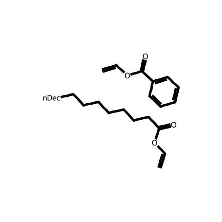 C=COC(=O)CCCCCCCCCCCCCCCCC.C=COC(=O)c1ccccc1